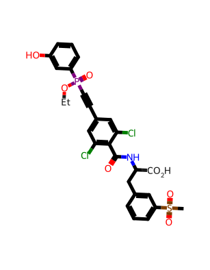 CCOP(=O)(C#Cc1cc(Cl)c(C(=O)NC(Cc2cccc(S(C)(=O)=O)c2)C(=O)O)c(Cl)c1)c1cccc(O)c1